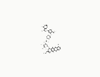 COc1cccc2c1C(=O)c1c(O)c3c(c(O)c1C2=O)C[C@](O)(C(=O)CO)C[C@H]3O[C@@H]1C[C@@H](NC(=O)O[C@H]2CC[C@H](Nc3cc(-n4nc(C)c5c4CC(C)(C)CC5=O)ccc3C(N)=O)CC2)[C@@H](O)[C@@H](C)O1